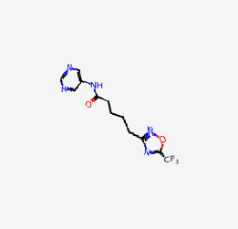 O=C(CCCCc1noc(C(F)(F)F)n1)Nc1cncnc1